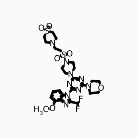 COc1cccc2c1nc(C(F)F)n2-c1nc(N2CCOCC2)nc(N2CCN(S(=O)(=O)CCN3CCS(=O)(=O)CC3)CC2)n1